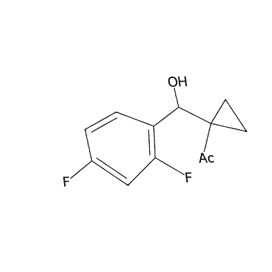 CC(=O)C1(C(O)c2ccc(F)cc2F)CC1